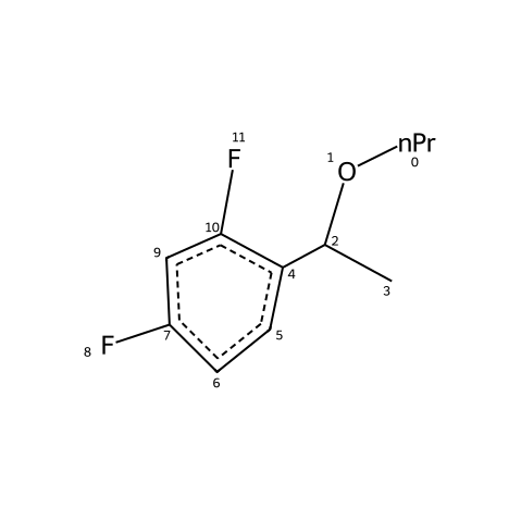 CCCOC(C)c1ccc(F)cc1F